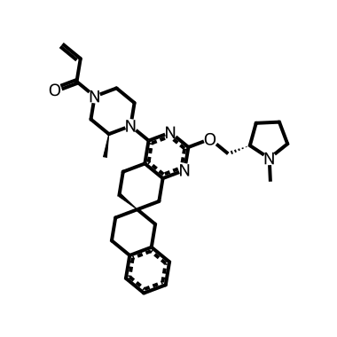 C=CC(=O)N1CCN(c2nc(OC[C@@H]3CCCN3C)nc3c2CC[C@@]2(CCc4ccccc4C2)C3)[C@@H](C)C1